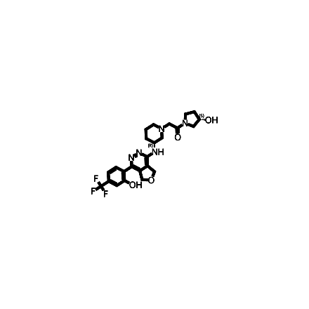 O=C(CN1CCC[C@@H](Nc2nnc(-c3ccc(C(F)(F)F)cc3O)c3c2COC3)C1)N1CC[C@H](O)C1